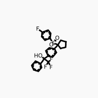 O=S(=O)(c1ccc(F)cc1)C1(c2ccc(C(O)(c3ccccc3)C(F)(F)F)cc2)CCCC1